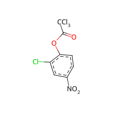 O=C(Oc1ccc([N+](=O)[O-])cc1Cl)C(Cl)(Cl)Cl